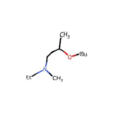 CCN(C)CC(C)OC(C)(C)C